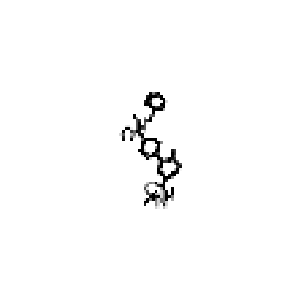 Cc1nnc(-c2ccc(C)c(-c3ccc(C(=O)N(C)Cc4ccccc4)cc3)c2)o1